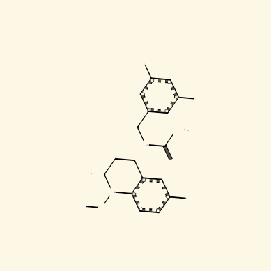 CCOC(=O)ON1c2ccc(Cl)cc2[C@@H](N(Cc2cc(C(F)(F)F)cc(C(F)(F)F)c2)C(=O)OC)C[C@H]1C